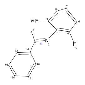 C/C(=N\c1c(F)cccc1F)c1ccccc1